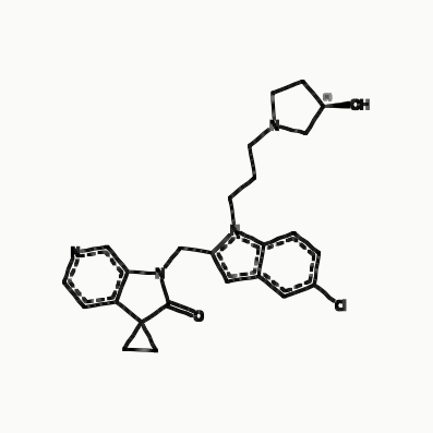 O=C1N(Cc2cc3cc(Cl)ccc3n2CCCN2CC[C@@H](O)C2)c2cnccc2C12CC2